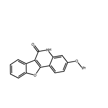 CC(C)Oc1ccc2c(c1)[nH]c(=O)c1c3ccccc3oc21